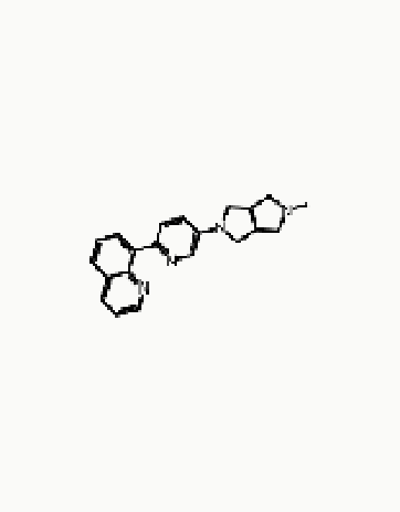 CN1CC2CN(c3ccc(-c4cccc5cccnc45)nc3)CC2C1